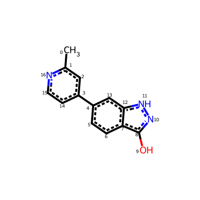 Cc1cc(-c2ccc3c(O)n[nH]c3c2)ccn1